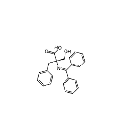 O=C(O)[C@@](CO)(Cc1ccccc1)N=C(c1ccccc1)c1ccccc1